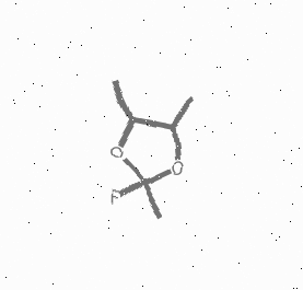 CC1OC(C)(F)OC1C